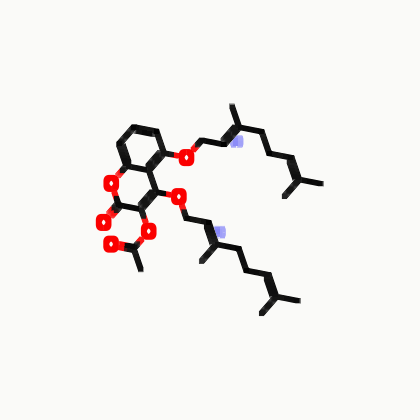 CC(=O)Oc1c(OC/C=C(\C)CCC=C(C)C)c2c(OC/C=C(\C)CCC=C(C)C)cccc2oc1=O